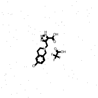 O=C(O)C(F)(F)F.O=C(O)c1[nH]nnc1CN1CCc2cc(Cl)ccc2C1